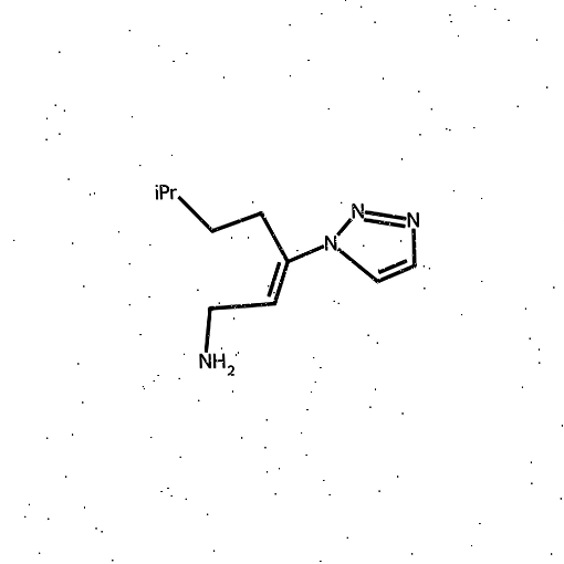 CC(C)CCC(=CCN)n1ccnn1